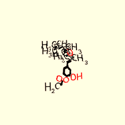 C=CC(=O)OC1CCC(CC[Si](C)(C)O[Si](C)(C)CC[Si](C)(C)C)CC1O